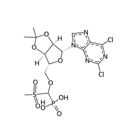 CC1(C)O[C@@H]2[C@H](O1)[C@@H](COC(P(=O)(O)O)S(C)(=O)=O)O[C@H]2n1cnc2c(Cl)nc(Cl)nc21